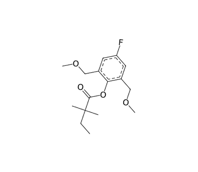 CCC(C)(C)C(=O)Oc1c(COC)cc(F)cc1COC